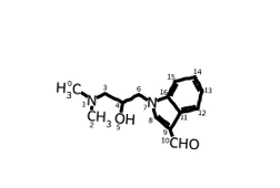 CN(C)CC(O)Cn1cc(C=O)c2ccccc21